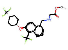 COC(=O)CNCc1cccc2c(C(F)(F)F)c(O[C@H]3CC[C@@H](C(F)(F)F)CC3)ccc12